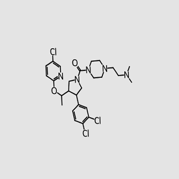 CC(Oc1ccc(Cl)cn1)C1CN(C(=O)N2CCN(CCN(C)C)CC2)CC1c1ccc(Cl)c(Cl)c1